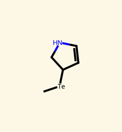 C[Te]C1C=CNC1